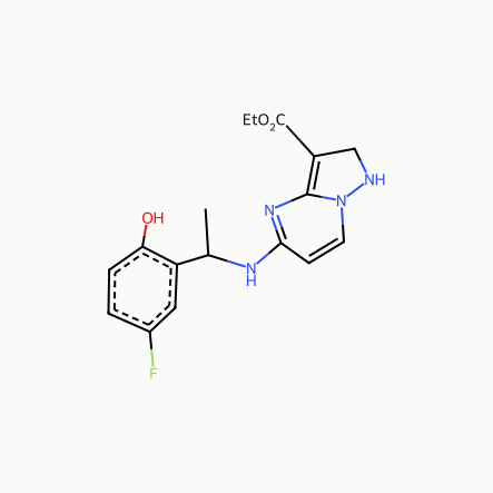 CCOC(=O)C1=C2N=C(NC(C)c3cc(F)ccc3O)C=CN2NC1